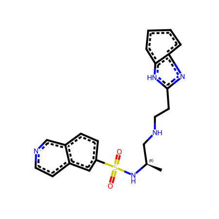 C[C@H](CNCCc1nc2ccccc2[nH]1)NS(=O)(=O)c1ccc2cnccc2c1